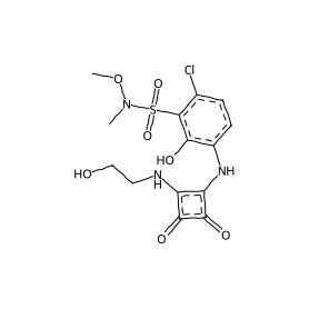 CON(C)S(=O)(=O)c1c(Cl)ccc(Nc2c(NCCO)c(=O)c2=O)c1O